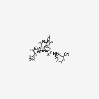 N#Cc1cccc(SN[C@H]2C[C@@H](Nc3c(-c4nc(CCO)co4)cnc4[nH]ccc34)C2)c1